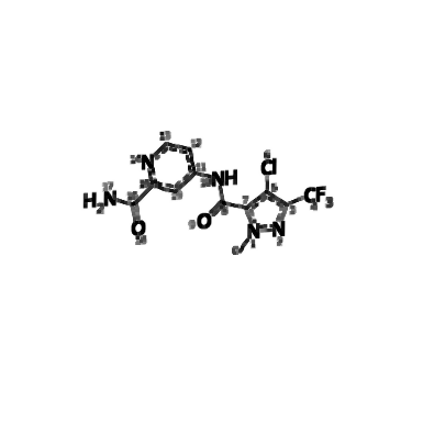 Cn1nc(C(F)(F)F)c(Cl)c1C(=O)Nc1ccnc(C(N)=O)c1